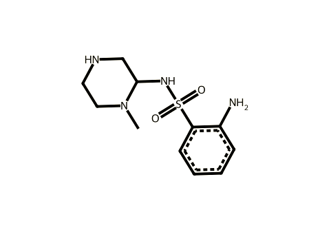 CN1CCNCC1NS(=O)(=O)c1ccccc1N